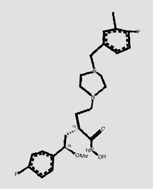 CO[C@H](C[C@H](CCN1CCN(Cc2ccc(F)c(C)c2)CC1)C(=O)NO)c1ccc(F)cc1